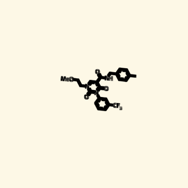 COCCn1cc(C(=O)NCc2ccc(C)cc2)c(=O)n(-c2cccc(C(F)(F)F)c2)c1=O